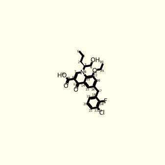 CCC[C@@H](CO)n1cc(C(=O)O)c(=O)c2cc(Cc3cccc(Cl)c3F)cc(OCC)c21